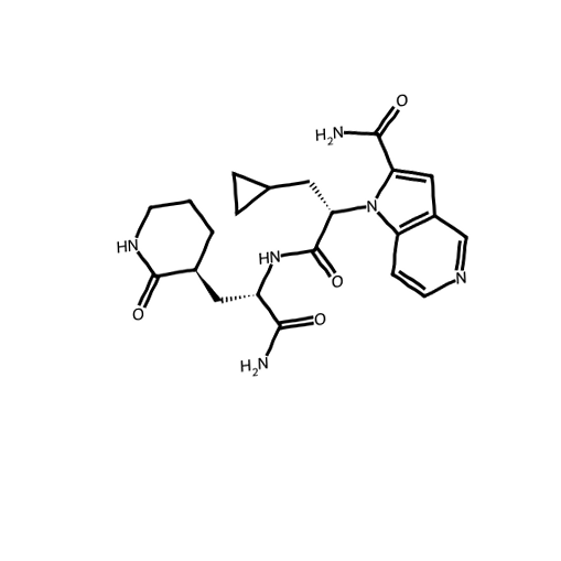 NC(=O)c1cc2cnccc2n1[C@@H](CC1CC1)C(=O)N[C@@H](C[C@@H]1CCCNC1=O)C(N)=O